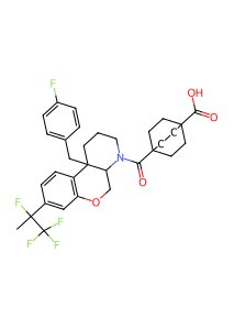 CC(F)(c1ccc2c(c1)OCC1N(C(=O)C34CCC(C(=O)O)(CC3)CC4)CCCC21Cc1ccc(F)cc1)C(F)(F)F